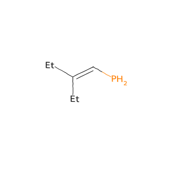 CCC(=CP)CC